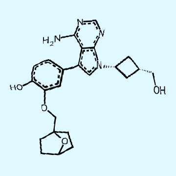 Nc1ncnc2c1c(-c1ccc(O)c(OCC34CCC(CC3)O4)c1)cn2[C@H]1C[C@@H](CO)C1